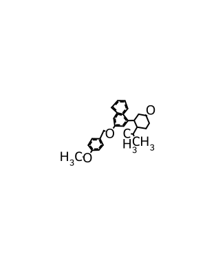 COc1ccc(COc2cc(C3CC(=O)CCC3C(C)C)c3ccccc3c2)cc1